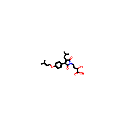 CC(C)=CCOc1ccc(C2=C(CC(C)C)C(=O)N(CCC(O)C(=O)O)C2=O)cc1